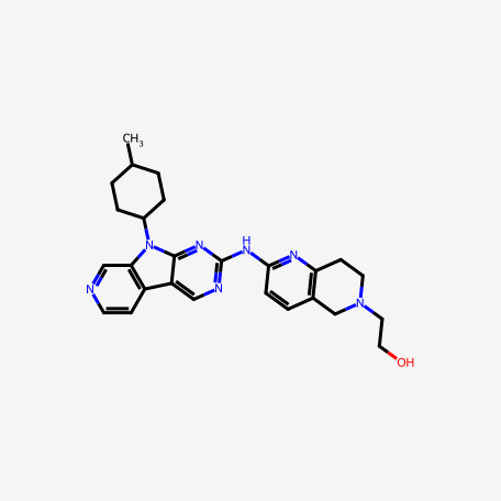 CC1CCC(n2c3cnccc3c3cnc(Nc4ccc5c(n4)CCN(CCO)C5)nc32)CC1